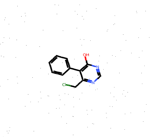 Oc1ncnc(CCl)c1-c1ccccc1